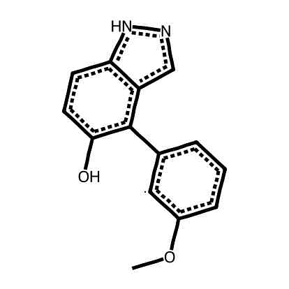 COc1[c]c(-c2c(O)ccc3[nH]ncc23)ccc1